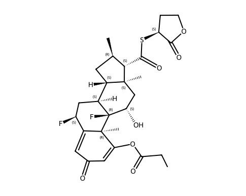 CCC(=O)OC1=CC(=O)C=C2[C@@H](F)C[C@H]3[C@@H]4C[C@@H](C)[C@H](C(=O)S[C@H]5CCOC5=O)[C@@]4(C)C[C@H](O)[C@]3(F)[C@@]12C